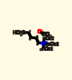 CCCCCCCC[N+](CCCCCCCC)(CCCCCCCC)CCCCS(=O)(=O)O.O=[N+]([O-])[O-]